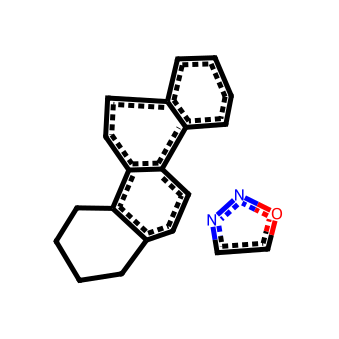 c1ccc2c(c1)ccc1c3c(ccc12)CCCC3.c1conn1